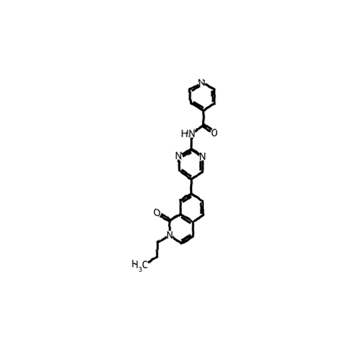 CCCn1ccc2ccc(-c3cnc(NC(=O)c4ccncc4)nc3)cc2c1=O